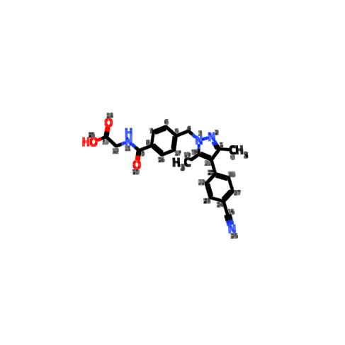 Cc1nn(Cc2ccc(C(=O)NCC(=O)O)cc2)c(C)c1-c1ccc(C#N)cc1